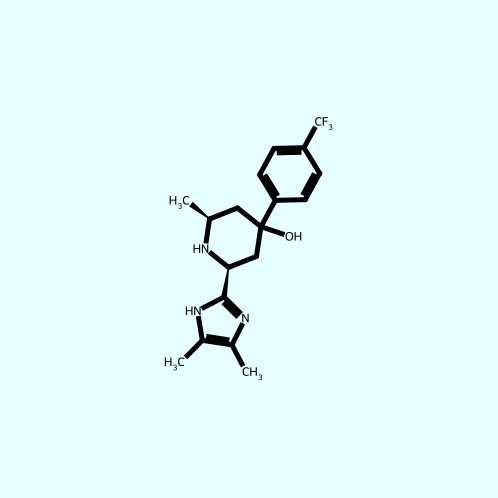 Cc1nc([C@@H]2CC(O)(c3ccc(C(F)(F)F)cc3)C[C@H](C)N2)[nH]c1C